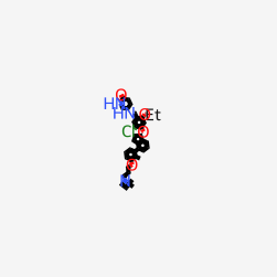 CCOc1cc(O[C@H]2CCc3c(-c4cccc(OCCCN5CCC5(C)C)c4C)cccc32)c(Cl)cc1CN[C@H]1CCC(=O)NC1